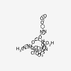 Cc1c(Cl)c2c(Cl)c(C)c1-c1c(C3=CCCC3)sc3ncnc(c13)O[C@@H](C(=O)O)Cc1cc(ccc1OCc1ccnc(C3CCC(OCC4COCCO4)CC3)n1)OC[C@@H](CN1CCN(C)CC1)O2